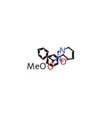 COc1ccc(C2C3C=CCN2CN(C(=O)c2ccccc2)O3)cc1